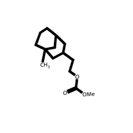 COC(=O)OCCC1CC2CCCC(C)(C2)C1